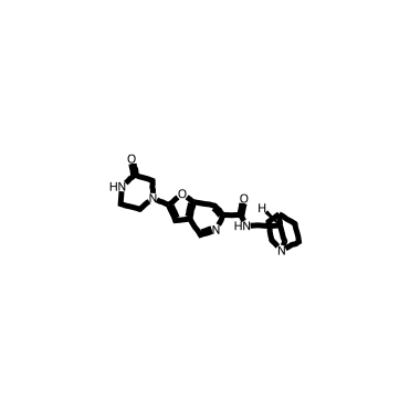 O=C1CN(c2cc3cnc(C(=O)N[C@H]4CN5CCC4CC5)cc3o2)CCN1